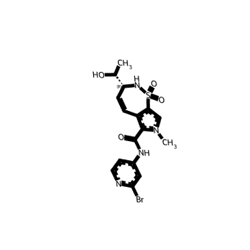 CC(O)[C@H]1C=Cc2c(cn(C)c2C(=O)Nc2ccnc(Br)c2)S(=O)(=O)N1